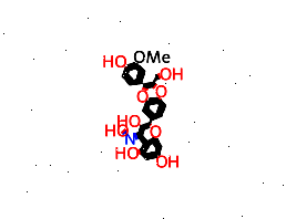 COc1cc([C@H]2Oc3cc([C@H]4Oc5cc(O)cc(O)c5/C(=N/O)[C@@H]4O)ccc3O[C@@H]2CO)ccc1O